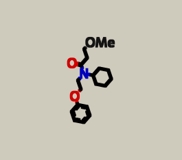 COCCC(=O)N(CCOc1ccccc1)C1CCCCC1